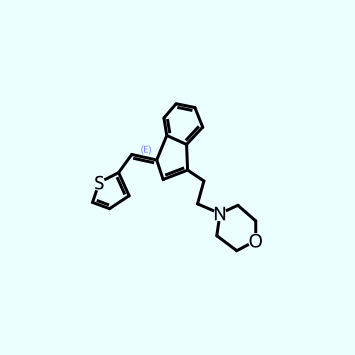 C1=C(CCN2CCOCC2)c2ccccc2/C1=C/c1cccs1